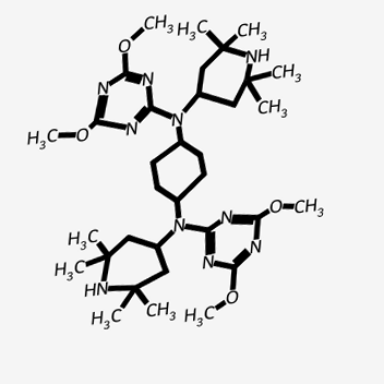 COc1nc(OC)nc(N(C2CCC(N(c3nc(OC)nc(OC)n3)C3CC(C)(C)NC(C)(C)C3)CC2)C2CC(C)(C)NC(C)(C)C2)n1